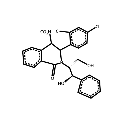 O=C(O)C1c2ccccc2C(=O)N([C@H](CO)[C@H](O)c2ccccc2)C1c1ccc(Cl)cc1Cl